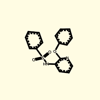 O=S(=O)(Nc1cccnc1Oc1ccccc1)c1ccccc1